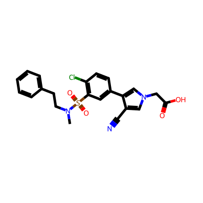 CN(CCc1ccccc1)S(=O)(=O)c1cc(-c2cn(CC(=O)O)cc2C#N)ccc1Cl